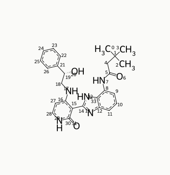 CC(C)(C)CC(=O)Nc1cccc2nc(-c3c(NC[C@@H](O)c4ccccc4)cc[nH]c3=O)[nH]c12